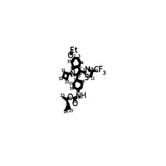 CCOc1ccc2c(-c3nc(C(F)(F)F)cs3)c(-c3ccc(NC(=O)OC(C)C4CC4)cc3)n(C3CCC3)c2c1